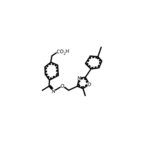 C/C(=N/OCc1nc(-c2ccc(C)cc2)oc1C)c1ccc(CC(=O)O)cc1